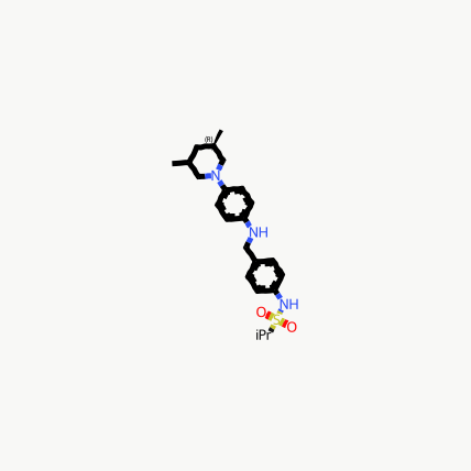 CC1C[C@@H](C)CN(c2ccc(NCc3ccc(NS(=O)(=O)C(C)C)cc3)cc2)C1